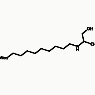 CCCCCCCCCCCCCCCCCCNC(C)CO